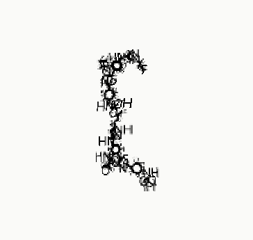 CC(C)OC(=O)NC1CCC(c2ncc(-c3ccc(Nc4cc(CCC(C)OC(O)NC5CCC(c6ncc(-c7ccc(Nc8cnn(CCF)c8)cc7P7(=O)CCC7)s6)CC5)[nH]n4)cc3S(=N)(=O)C3COC3)s2)CC1